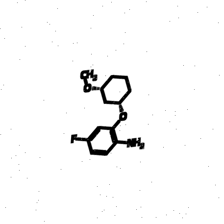 CO[C@@H]1CCC[C@H](Oc2cc(F)ccc2N)C1